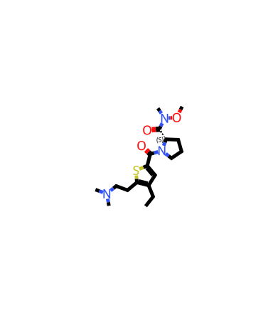 CCc1cc(C(=O)N2CCC[C@H]2C(=O)N(C)OC)sc1CCN(C)C